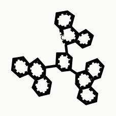 c1ccc2c(c1)cc(-c1cc(-c3cc4ccccc4c4ccccc34)cc(-c3cc4ccccc4c4ccccc34)c1)c1ccccc12